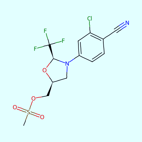 CS(=O)(=O)OC[C@@H]1CN(c2ccc(C#N)c(Cl)c2)[C@H](C(F)(F)F)O1